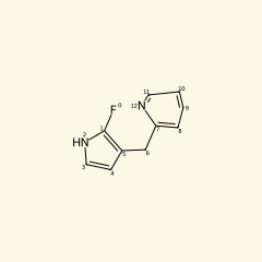 Fc1[nH]ccc1Cc1ccccn1